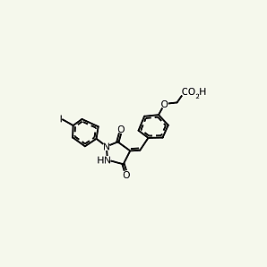 O=C(O)COc1ccc(C=C2C(=O)NN(c3ccc(I)cc3)C2=O)cc1